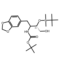 CC(C)(C)OC(=O)NC(Cc1ccc2c(c1)OCO2)[C@@H](CO)O[Si](C)(C)C(C)(C)C